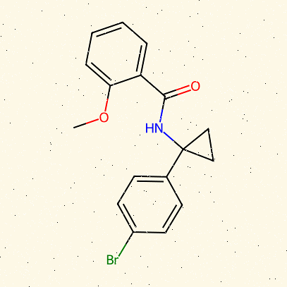 COc1ccccc1C(=O)NC1(c2ccc(Br)cc2)CC1